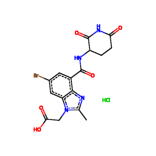 Cc1nc2c(C(=O)NC3CCC(=O)NC3=O)cc(Br)cc2n1CC(=O)O.Cl